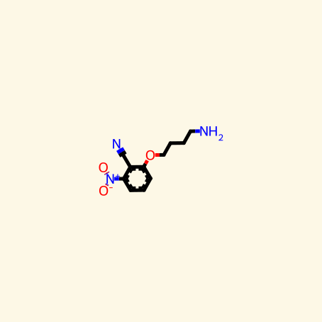 N#Cc1c(OCCCCN)cccc1[N+](=O)[O-]